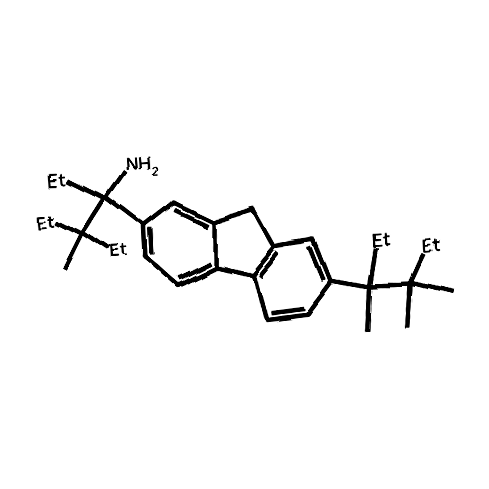 CCC(C)(C)C(C)(CC)c1ccc2c(c1)Cc1cc(C(N)(CC)C(C)(CC)CC)ccc1-2